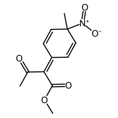 COC(=O)C(C(C)=O)=C1C=CC(C)([N+](=O)[O-])C=C1